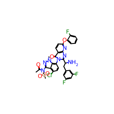 CC(=O)N(c1nn(C)c2c(-n3c(C(N)Cc4cc(F)cc(F)c4)nc4nc(Oc5ccccc5F)ccc4c3=O)ccc(Cl)c12)S(C)(=O)=O